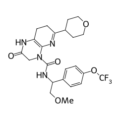 COCC(NC(=O)N1CC(=O)NC2=C1N=C(C1CCOCC1)CC2)c1ccc(OC(F)(F)F)cc1